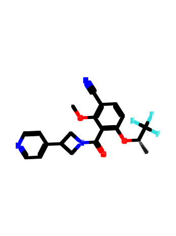 COc1c(C#N)ccc(O[C@@H](C)C(F)(F)F)c1C(=O)N1CC(c2ccncc2)C1